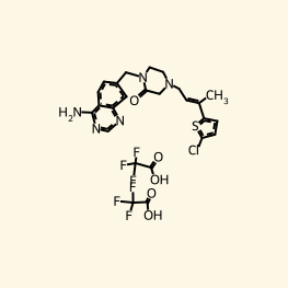 C/C(=C\CN1CCN(Cc2ccc3c(N)ncnc3c2)C(=O)C1)c1ccc(Cl)s1.O=C(O)C(F)(F)F.O=C(O)C(F)(F)F